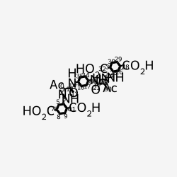 CC(=O)/C(=N/Nc1cc(C(=O)O)ccc1C(=O)O)C(=O)Nc1ccc(NC(=O)C(NNc2cc(C(=O)O)ccc2C(=O)O)C(C)=O)cc1